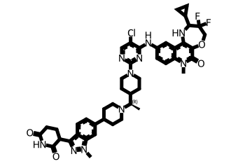 C[C@H](C1CCN(c2ncc(Cl)c(Nc3ccc4c(c3)c3c(c(=O)n4C)OCC(F)(F)C(C4CC4)N3)n2)CC1)N1CCC(c2ccc3c(C4CCC(=O)NC4=O)nn(C)c3c2)CC1